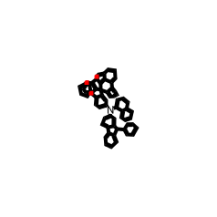 c1ccc(C2c3ccccc3-c3ccc(N(c4ccc5c(c4)C4(c6ccccc6-5)c5ccccc5-c5cccc6ccc(C7CCCCC7)c4c56)c4cccc5ccccc45)cc32)cc1